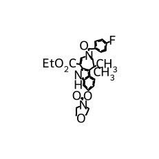 CCOC(=O)C1=CN(C(=O)c2ccc(F)cc2)CC(C)(C)c2c1[nH]c1cc(OC(=O)N3CCOCC3)ccc21